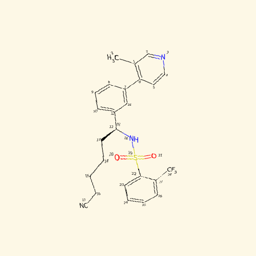 Cc1cnccc1-c1cccc([C@H](CCCCC#N)NS(=O)(=O)c2ccccc2C(F)(F)F)c1